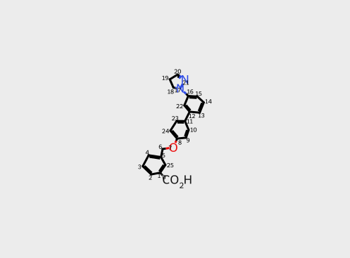 O=C(O)c1cccc(COc2ccc(-c3cccc(N4CCC=N4)c3)cc2)c1